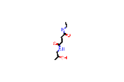 CCNC(=O)CCC(=O)NCC(C)O